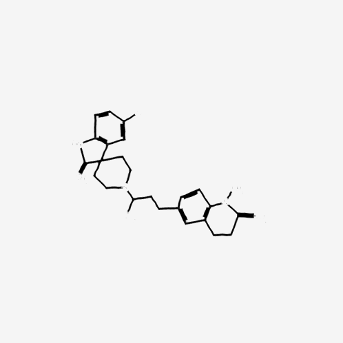 C=C1CCc2cc(CCC(C)N3CCC4(CC3)C(=C)Nc3ccc(Cl)cc34)ccc2N1C